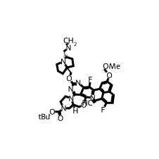 C#Cc1c(F)ccc2cc(OCOC)cc(-c3nc4c5c(nc(OC[C@@]67CCCN6[C@H](CN=C)CC7)nc5c3F)N3CCN(C(=O)OC(C)(C)C)C[C@H]3CO4)c12